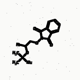 CCC(CON1C(=O)c2ccccc2C1=O)O[Si](C)(C)C(C)(C)C